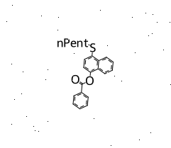 CCCCCSc1ccc(OC(=O)c2ccccc2)c2ccccc12